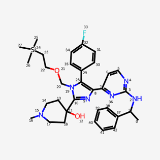 CC(Nc1nccc(-c2nc(C3(O)CCN(C)CC3)n(COCC[Si](C)(C)C)c2-c2ccc(F)cc2)n1)c1ccccc1